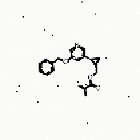 CC(C)C(=O)OCC1CC1c1cncc(OCc2ccccc2)c1